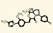 COc1cc(C=C2OC(C)(C)[C@H]3CC[C@@H](c4ccc(F)cc4)N3C2=O)ccc1-n1cnc(C)c1